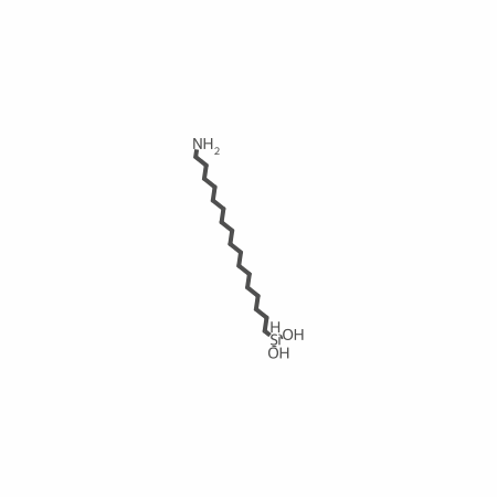 NCCCCCCCCCCCCCCCCC[SiH](O)O